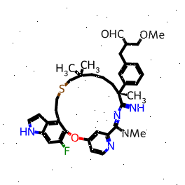 CN/C1=N\C(=N)[C@@](C)(c2cccc(CC(C=O)COC)c2)CCCC(C)(C)CSCCc2c(c(F)cc3[nH]ccc23)Oc2ccnc1c2